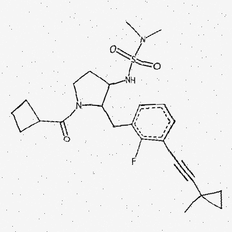 CN(C)S(=O)(=O)NC1CCN(C(=O)C2CCC2)C1Cc1cccc(C#CC2(C)CC2)c1F